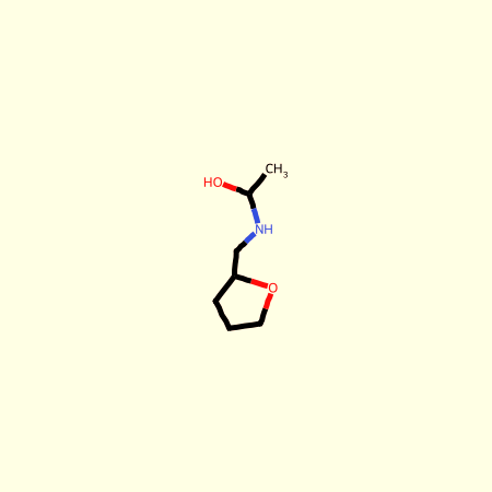 CC(O)NCC1CCCO1